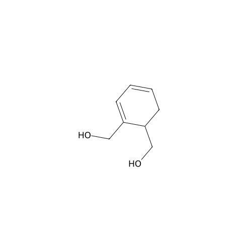 OCC1=CC=CCC1CO